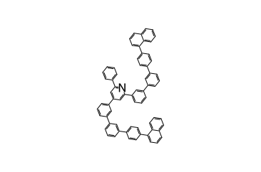 c1ccc(-c2cc(-c3cccc(-c4cccc(-c5ccc(-c6cccc7ccccc67)cc5)c4)c3)cc(-c3cccc(-c4cccc(-c5ccc(-c6cccc7ccccc67)cc5)c4)c3)n2)cc1